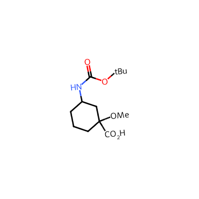 COC1(C(=O)O)CCCC(NC(=O)OC(C)(C)C)C1